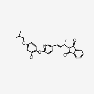 CC(C)COc1ccc(Oc2ccc(/C=C/[C@H](C)N3C(=O)c4ccccc4C3=O)cn2)c(Cl)c1